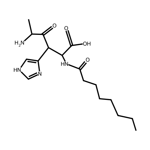 CCCCCCCC(=O)NC(C(=O)O)C(C(=O)C(C)N)c1c[nH]cn1